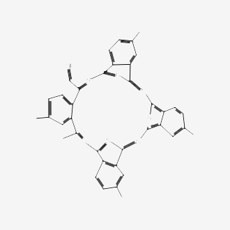 CCc1ccc2c(c1)-c1nc-2nc(C)c2cc(CC)ccc2c(C=N)nc2nc(nc3[nH]c(n1)c1cc(CC)ccc31)-c1cc(CC)ccc1-2